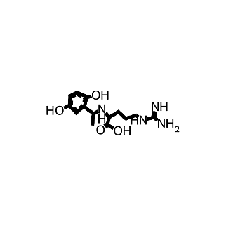 CC(NC(CCCNC(=N)N)C(=O)O)c1cc(O)ccc1O